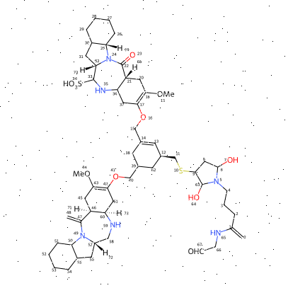 C=C(CCCN1C(O)CC(SC[C@@H]2C=C(COC3=C(OC)C[C@H]4C(=O)N5[C@H]6CCCCC6C[C@H]5C(S(=O)(=O)O)NC4C3)CC(COC3=C(OC)C[C@@H]4C(=C)N5C6CCCCC6C[C@H]5CN[C@@H]4C3)C2)C1O)NCC=O